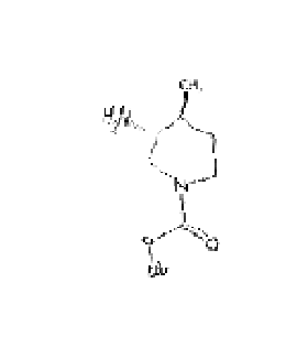 C[C@H]1CCN(C(=O)OC(C)(C)C)C[C@@H]1N